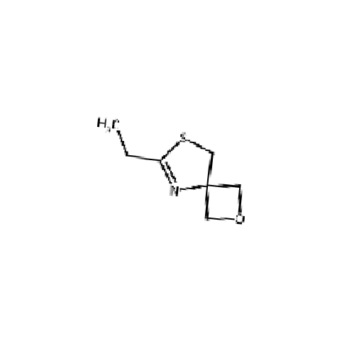 CCC1=NC2(COC2)CS1